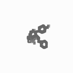 CC(=O)O.Fc1ccc(-c2ncncc2CCN2CCCCC2)cc1